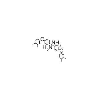 Cc1ccc(Oc2ccc(C(N)(N)c3ccc(Oc4ccc(C)c(C)c4)cc3)cc2)cc1C